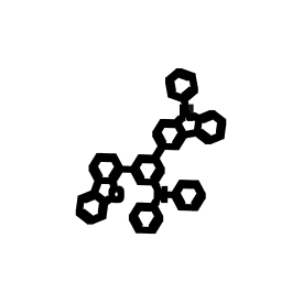 c1ccc(N(c2ccccc2)c2cc(-c3ccc4c(c3)c3ccccc3n4-c3ccccc3)cc(-c3cccc4c3oc3ccccc34)c2)cc1